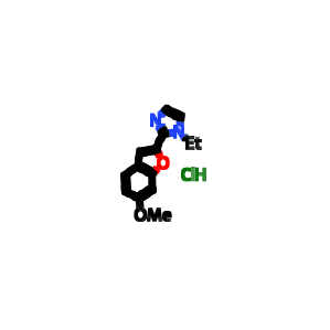 CCn1ccnc1-c1cc2ccc(OC)cc2o1.Cl